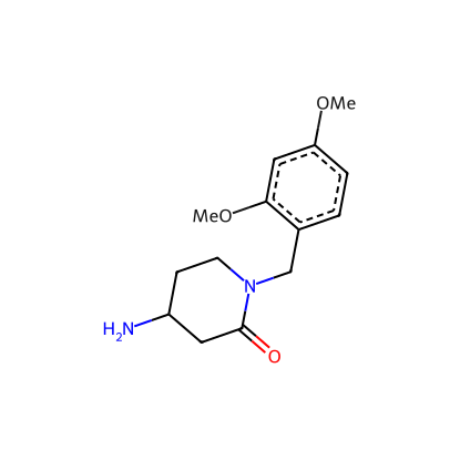 COc1ccc(CN2CCC(N)CC2=O)c(OC)c1